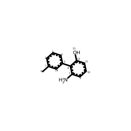 Cc1cccc(-c2c(N)cccc2O)c1